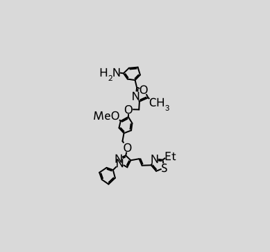 CCc1nc(C=Cc2cn(-c3ccccc3)nc2OCc2ccc(OCc3nc(-c4cccc(N)c4)oc3C)c(OC)c2)cs1